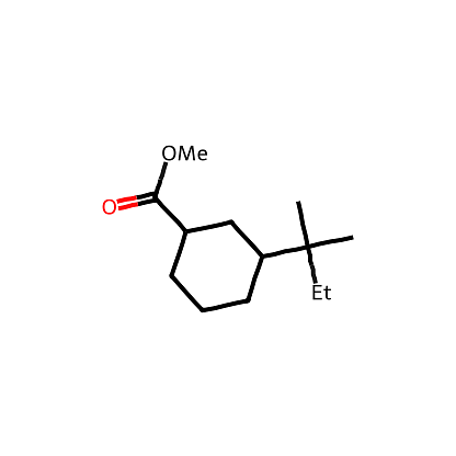 CCC(C)(C)C1CCCC(C(=O)OC)C1